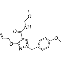 C=CCOc1nn(Cc2ccc(OC)cc2)cc1C(=O)NCOC